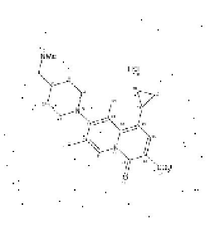 CNCC1CCN(c2c(F)cn3c(=O)c(C(=O)O)cc(C4CC4)c3c2C)CC1.Cl